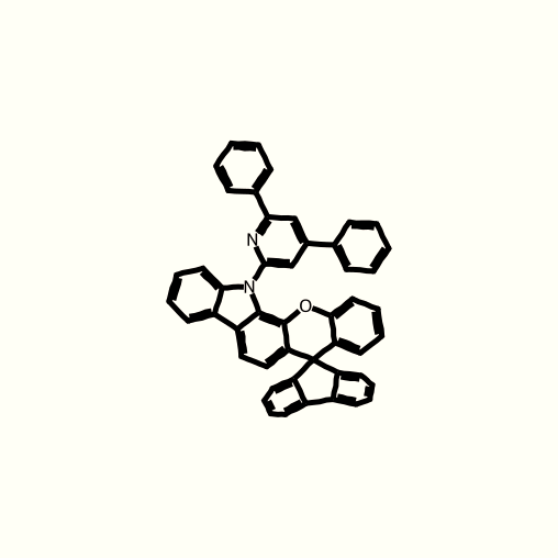 c1ccc(-c2cc(-c3ccccc3)nc(-n3c4ccccc4c4ccc5c(c43)Oc3ccccc3C53c4ccccc4-c4ccccc43)c2)cc1